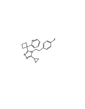 Fc1ccc(CCn2c(C3CC3)nnc2C2(c3ccccn3)CCC2)cc1